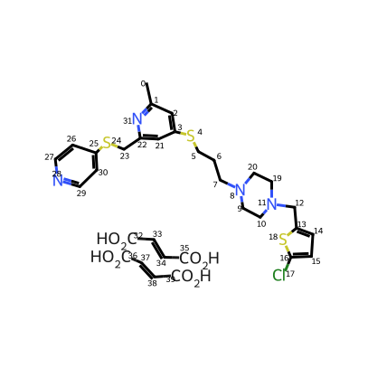 Cc1cc(SCCCN2CCN(Cc3ccc(Cl)s3)CC2)cc(CSc2ccncc2)n1.O=C(O)C=CC(=O)O.O=C(O)C=CC(=O)O